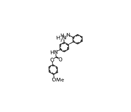 COc1ccc(OC(=O)Nc2ccc(-c3ccccc3N)c(N)c2)cc1